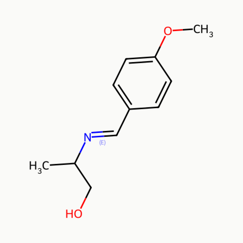 COc1ccc(/C=N/C(C)CO)cc1